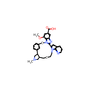 COc1cc(C(=O)O)cc2nc3n(c12)Cc1cccc(c1)C1CN(C)CC1CCCCn1c-3cc2cccnc21